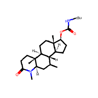 CC1C[C@H]2N(C)C(=O)CC[C@]2(C)[C@H]2CC[C@]3(C)[C@@H](OC(=O)NC(C)(C)C)CC[C@H]3[C@H]12